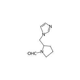 O=[C]N1CCCC1Cn1ccnc1